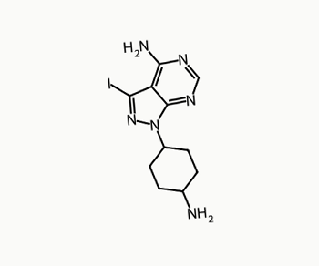 Nc1ncnc2c1c(I)nn2C1CCC(N)CC1